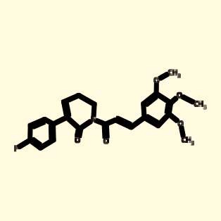 COc1cc(C=CC(=O)N2CCC=C(c3ccc(F)cc3)C2=O)cc(OC)c1OC